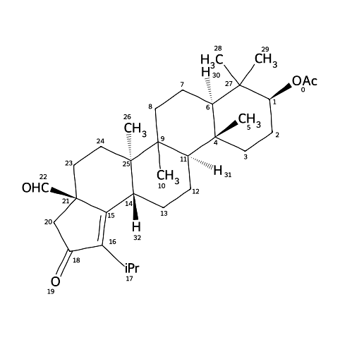 CC(=O)O[C@H]1CC[C@@]2(C)[C@@H](CCC3(C)[C@@H]2CC[C@@H]2C4=C(C(C)C)C(=O)C[C@]4(C=O)CC[C@]23C)C1(C)C